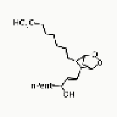 CCCCC[C@H](O)/C=C/C1C2CC(OO2)[C@@H]1CCCCCCC(=O)O